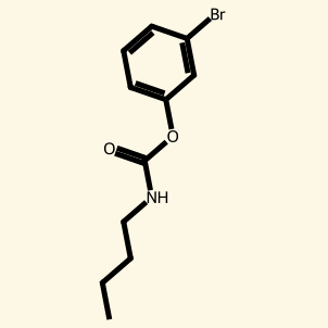 CCCCNC(=O)Oc1cccc(Br)c1